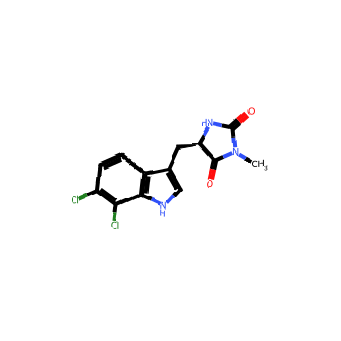 CN1C(=O)N[C@H](Cc2c[nH]c3c(Cl)c(Cl)ccc23)C1=O